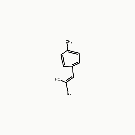 CCC(O)=Cc1ccc(C)cc1